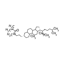 C=C[C@H](CCCC(C)C)[C@H]1CCC2C3CCC4C[C@@H](CCCN(C)C(=O)C(=C)C)CC[C@]4(C)C3CC[C@@]21C